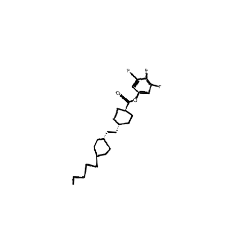 CCCCC[C@H]1CC[C@H](CC[C@H]2CC[C@H](C(=O)Oc3cc(F)c(F)c(F)c3)CC2)CC1